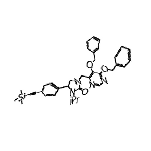 CC(C)N1C(=O)N(Cc2ncnc(OCc3ccccc3)c2OCc2ccccc2)CC1c1ccc(C#C[Si](C)(C)C)cc1